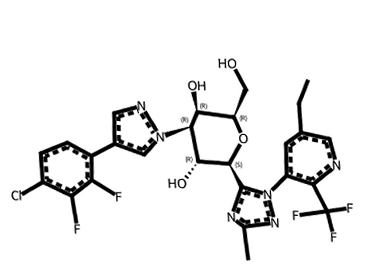 CCc1cnc(C(F)(F)F)c(-n2nc(C)nc2[C@@H]2O[C@H](CO)[C@H](O)[C@H](n3cc(-c4ccc(Cl)c(F)c4F)cn3)[C@H]2O)c1